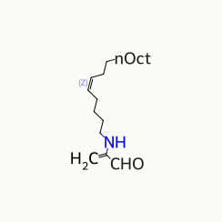 C=C(C=O)NCCCC/C=C\CCCCCCCCCC